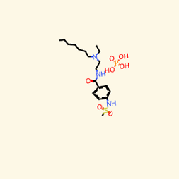 CCCCCCCN(CC)CCNC(=O)c1ccc(NS(C)(=O)=O)cc1.O=P(O)(O)O